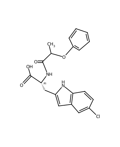 CC(Oc1ccccc1)C(=O)N[C@H](Cc1cc2cc(Cl)ccc2[nH]1)C(=O)O